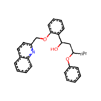 CCCC(CC(O)c1ccccc1OCc1ccc2ccccc2n1)Oc1ccccc1